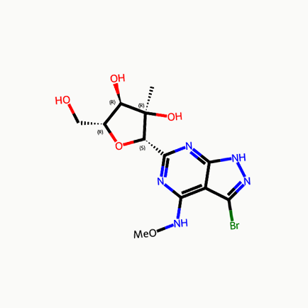 CONc1nc([C@@H]2O[C@H](CO)[C@@H](O)[C@@]2(C)O)nc2[nH]nc(Br)c12